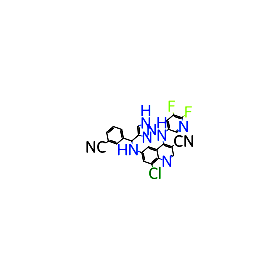 N#Cc1cccc(C(Nc2cc(Cl)c3ncc(C#N)c(Nc4cnc(F)c(F)c4)c3c2)c2c[nH]nn2)c1